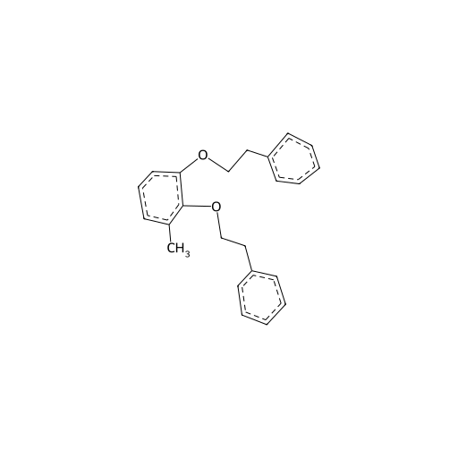 Cc1cccc(OCCc2ccccc2)c1OCCc1ccccc1